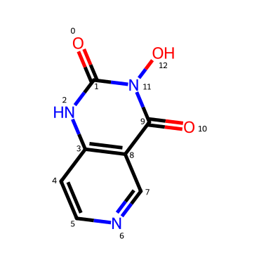 O=c1[nH]c2ccncc2c(=O)n1O